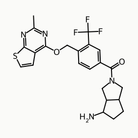 Cc1nc(OCc2ccc(C(=O)N3CC4CCC(N)C4C3)cc2C(F)(F)F)c2ccsc2n1